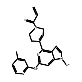 C=CC(=O)N1CC=C(c2nc(Nc3cc(C)ccn3)cc3c2ccn3C(C)C)CC1